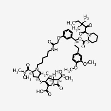 CCC(C)(C)C(=O)C(=O)N1CCCC[C@H]1C(=O)O[C@H](CCc1ccc(OC)c(OC)c1)c1cccc(OCC(=O)NCCCCCN2C[C@@H](SC3=C(C(=O)O)N4C(=O)[C@H]([C@@H](C)O)[C@H]4[C@H]3C)C[C@H]2C(=O)N(C)C)c1